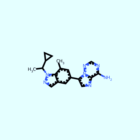 Cc1cc(-c2cnc3c(N)ncnn23)cc2cnn(C(C)C3CC3)c12